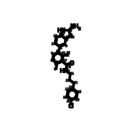 Cc1ccc(C2=CC3=NC(N)NN3C=C2)c(F)c1C(=O)NCCCc1ccc(Cl)cc1